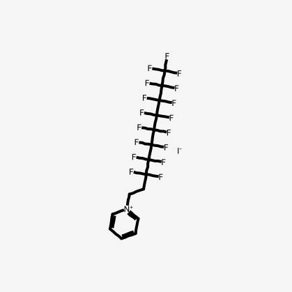 FC(F)(F)C(F)(F)C(F)(F)C(F)(F)C(F)(F)C(F)(F)C(F)(F)C(F)(F)CC[n+]1ccccc1.[I-]